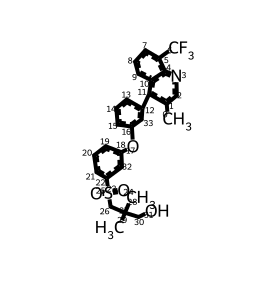 Cc1cnc2c(C(F)(F)F)cccc2c1-c1cccc(Oc2cccc(S(=O)(=O)CC(C)(C)CO)c2)c1